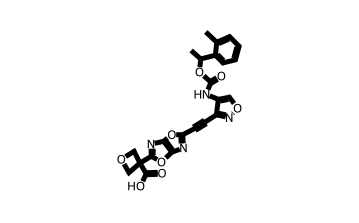 Cc1ccccc1C(C)OC(=O)Nc1conc1C#Cc1nc2oc(C3(C(=O)O)COC3)nc2o1